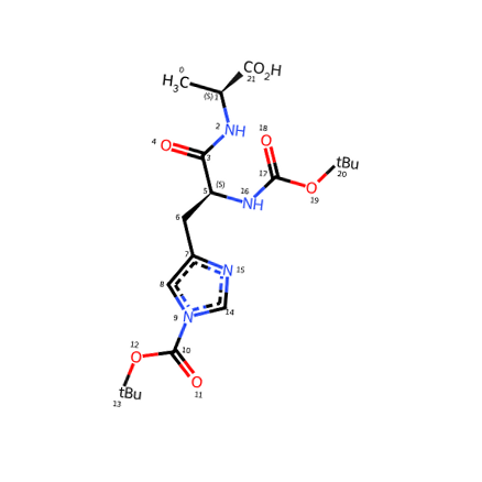 C[C@H](NC(=O)[C@H](Cc1cn(C(=O)OC(C)(C)C)cn1)NC(=O)OC(C)(C)C)C(=O)O